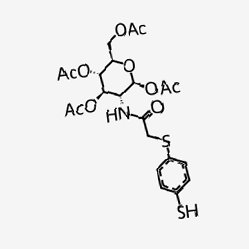 CC(=O)OC[C@H]1O[C@@H](OC(C)=O)[C@H](NC(=O)CSc2ccc(S)cc2)[C@@H](OC(C)=O)[C@@H]1OC(C)=O